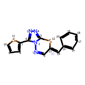 C1=Nn2c(nnc2-c2cccs2)S/C1=C\c1ccccc1